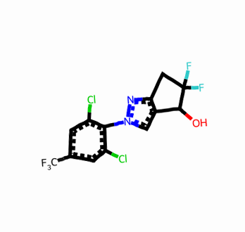 OC1c2cn(-c3c(Cl)cc(C(F)(F)F)cc3Cl)nc2CC1(F)F